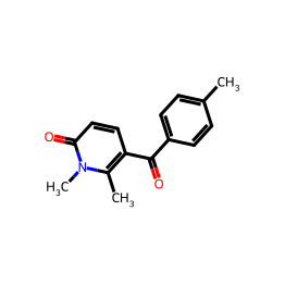 Cc1ccc(C(=O)c2ccc(=O)n(C)c2C)cc1